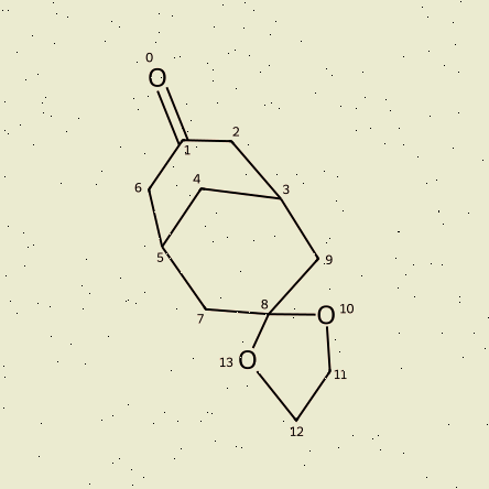 O=C1CC2CC(C1)CC1(C2)OCCO1